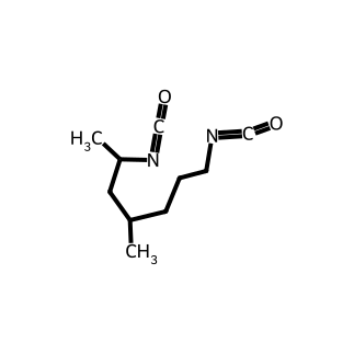 CC(CCCN=C=O)CC(C)N=C=O